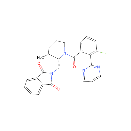 C[C@@H]1CCCN(C(=O)c2cccc(F)c2-c2ncccn2)[C@@H]1CN1C(=O)c2ccccc2C1=O